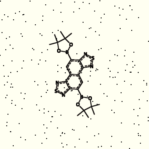 CC1(C)OB(c2cc3c(cc(B4OC(C)(C)C(C)(C)O4)c4nsnc43)c3nsnc23)OC1(C)C